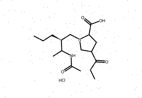 CCC[C@@H](CN1CC(C(=O)CC)CC1C(=O)O)C(C)NC(C)=O.Cl